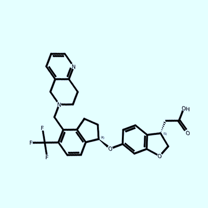 O=C(O)C[C@@H]1COc2cc(O[C@@H]3CCc4c3ccc(C(F)(F)F)c4CN3CCc4ncccc4C3)ccc21